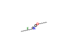 CCCCCCCCCOc1ccc(-c2ccc(CCCC(F)CCCCCCC)cn2)cc1